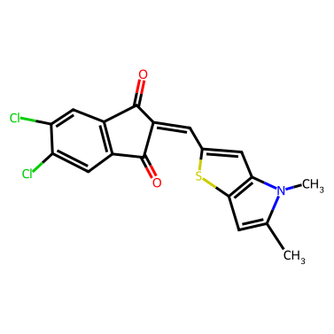 Cc1cc2sc(C=C3C(=O)c4cc(Cl)c(Cl)cc4C3=O)cc2n1C